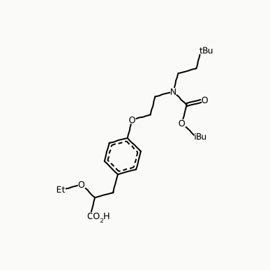 CCOC(Cc1ccc(OCCN(CCC(C)(C)C)C(=O)OC(C)CC)cc1)C(=O)O